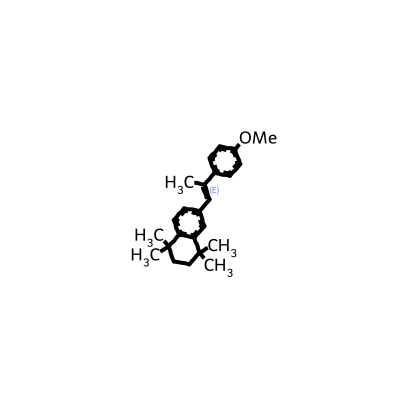 COc1ccc(/C(C)=C/c2ccc3c(c2)C(C)(C)CCC3(C)C)cc1